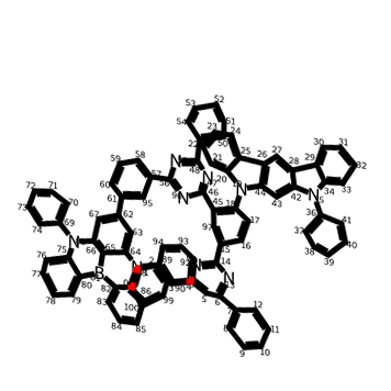 c1ccc(-c2cc(-c3ccccc3)nc(-c3ccc(-n4c5ccccc5c5cc6c7ccccc7n(-c7ccccc7)c6cc54)c(-c4nc(-c5ccccc5)nc(-c5cccc(-c6cc7c8c(c6)N(c6ccccc6)c6ccccc6B8c6ccccc6N7c6ccccc6)c5)n4)c3)n2)cc1